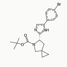 CC(C)(C)OC(=O)N1CC2(CC2)C[C@H]1c1ncc(-c2ccc(Br)cc2)[nH]1